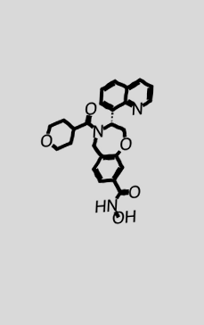 O=C(NO)c1ccc2c(c1)OC[C@@H](c1cccc3cccnc13)N(C(=O)C1CCOCC1)C2